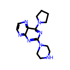 c1cnc2c(N3CCCC3)nc(N3CCNCC3)nc2n1